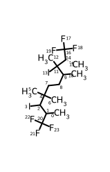 CC(C(I)C(C)(C)CCC(C)C(C)(I)[C@@H](C)C(F)(F)F)C(F)(F)F